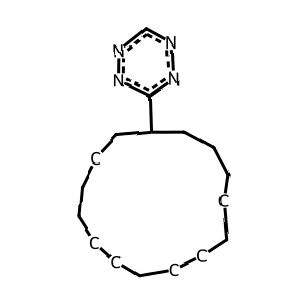 c1nnc(C2CCCCCCCCCCCCCC2)nn1